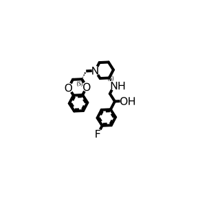 OC(CN[C@H]1CCCN(C[C@H]2COc3ccccc3O2)C1)c1ccc(F)cc1